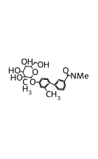 CNC(=O)c1cccc(-c2ccc(O[C@H]3O[C@H](CO)[C@@H](O)[C@H](O)[C@]3(C)O)cc2C)c1